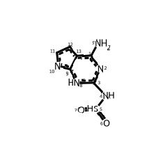 Nc1nc(N[SH](=O)=O)[nH]c2nccc1-2